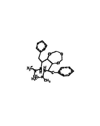 CN(C)NC(Cc1ccccc1)C1OCOCOC1C(Cc1ccccc1)NN(C)C